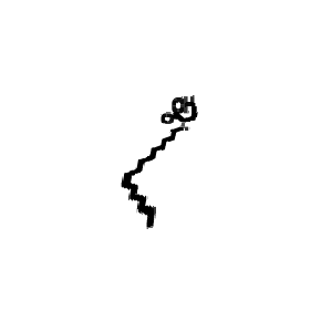 CCCCCC/C=C\CCCCCCCC[CH][C@@H](CC)C(=O)O